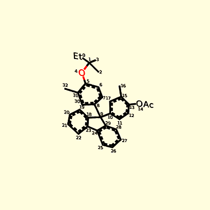 CCC(C)(C)Oc1ccc(C2(c3ccc(OC(C)=O)c(C)c3)c3ccccc3-c3ccccc32)cc1C